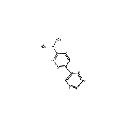 CC(C)(C)P(c1ccc(-c2ccccc2)cc1)C(C)(C)C